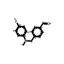 CN(Cc1ccc(C=O)cc1)c1ccc(F)cc1